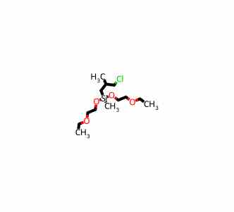 CCOCCO[Si](C)(CC(C)CCl)OCCOCC